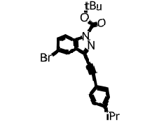 CC(C)c1ccc(C#Cc2nn(C(=O)OC(C)(C)C)c3ccc(Br)cc23)cc1